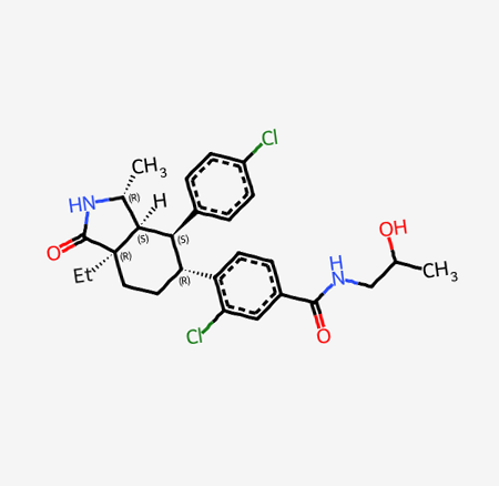 CC[C@@]12CC[C@@H](c3ccc(C(=O)NCC(C)O)cc3Cl)[C@H](c3ccc(Cl)cc3)[C@@H]1[C@@H](C)NC2=O